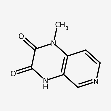 Cn1c(=O)c(=O)[nH]c2cnccc21